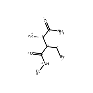 CCC[C@H](C(N)=O)C(CC(C)C)C(=O)NCC